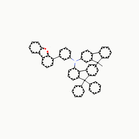 CC1(C)c2ccccc2-c2ccc(N(c3cccc(-c4cccc5c4oc4ccccc45)c3)c3cccc4c3-c3ccccc3C4(c3ccccc3)c3ccccc3)cc21